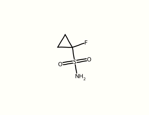 NS(=O)(=O)C1(F)CC1